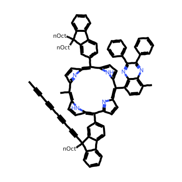 CC#CC#CC#CC#CC1(CCCCCCCC)c2ccccc2-c2ccc(-c3c4nc(c(-c5ccc(C)c6nc(-c7ccccc7)c(-c7ccccc7)nc56)c5ccc([nH]5)c(-c5ccc6c(c5)C(CCCCCCCC)(CCCCCCCC)c5ccccc5-6)c5nc(c(C)c6ccc3[nH]6)C=C5)C=C4)cc21